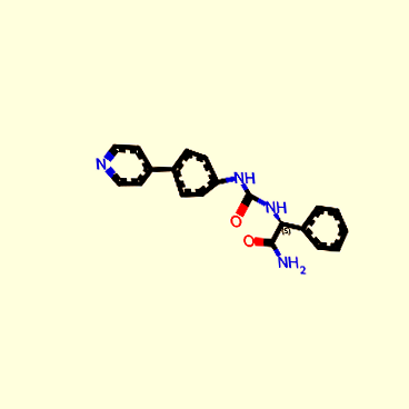 NC(=O)[C@@H](NC(=O)Nc1ccc(-c2ccncc2)cc1)c1ccccc1